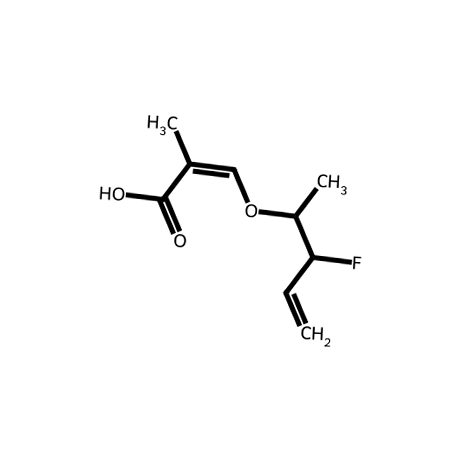 C=CC(F)C(C)OC=C(C)C(=O)O